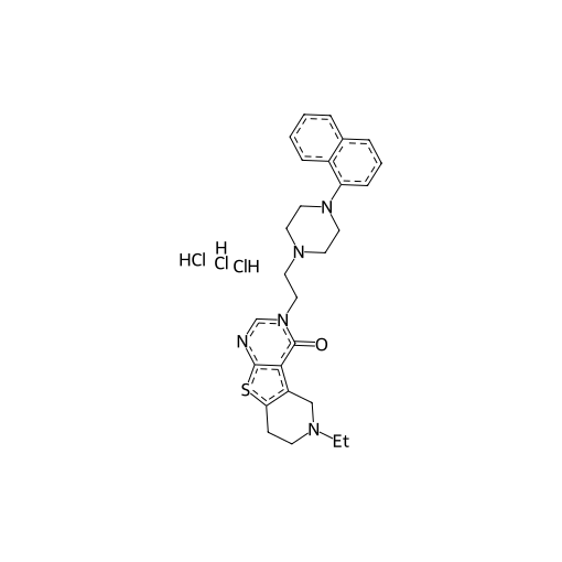 CCN1CCc2sc3ncn(CCN4CCN(c5cccc6ccccc56)CC4)c(=O)c3c2C1.Cl.Cl.Cl